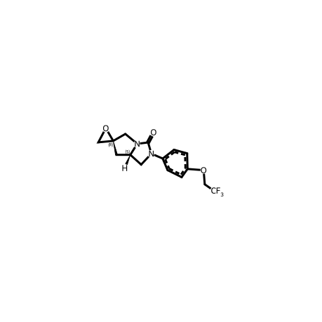 O=C1N(c2ccc(OCC(F)(F)F)cc2)C[C@@H]2C[C@]3(CO3)CN12